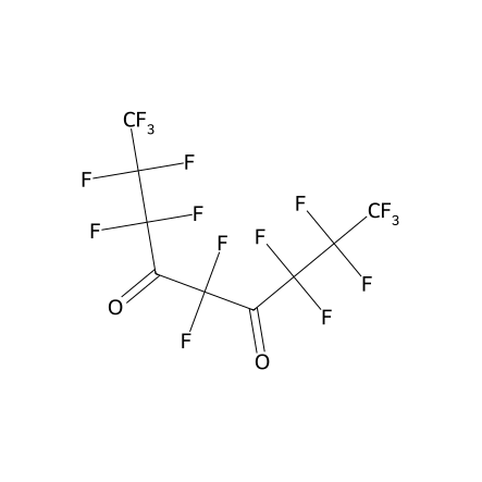 O=C(C(F)(F)C(=O)C(F)(F)C(F)(F)C(F)(F)F)C(F)(F)C(F)(F)C(F)(F)F